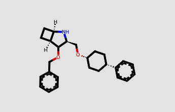 c1ccc(COC2[C@H](CO[C@H]3CC[C@@H](c4ccccc4)CC3)N[C@@H]3CC[C@H]23)cc1